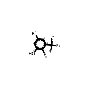 Oc1cc(Br)cc(C(F)(F)F)c1F